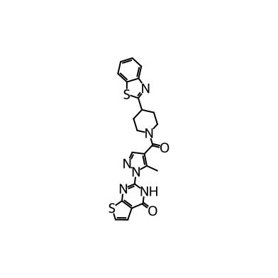 Cc1c(C(=O)N2CCC(c3nc4ccccc4s3)CC2)cnn1-c1nc2sccc2c(=O)[nH]1